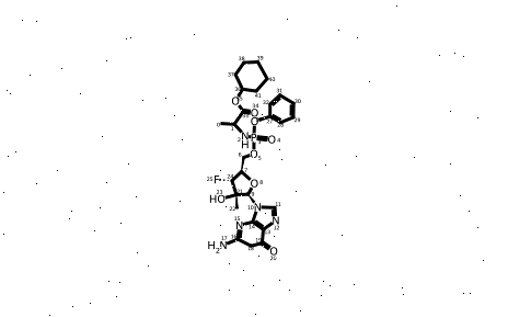 CC(NP(=O)(OC[C@H]1O[C@@H](n2cnc3c2N=C(N)CC3=O)[C@](C)(O)[C@@H]1F)Oc1ccccc1)C(=O)OC1CCCCC1